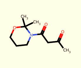 CC(=O)CC(=O)N1CCCOC1(C)C